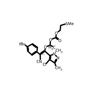 CSCCOC(=O)OC(C)O/C(=C(/C#N)c1ccc(C(C)(C)C)cc1)c1c(Cl)c(C)nn1C